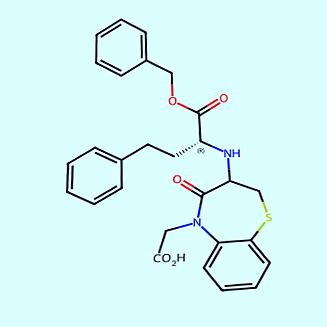 O=C(O)CN1C(=O)C(N[C@H](CCc2ccccc2)C(=O)OCc2ccccc2)CSc2ccccc21